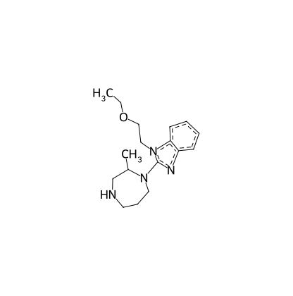 CCOCCn1c(N2CCCNCC2C)nc2ccccc21